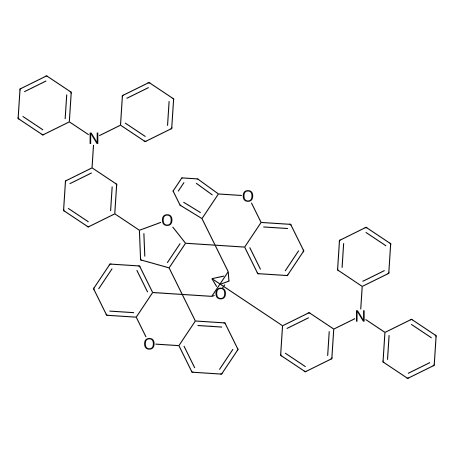 c1ccc(N(c2ccccc2)c2cccc(-c3cc4c(o3)C3(c5ccccc5Oc5ccccc53)c3cc(-c5cccc(N(c6ccccc6)c6ccccc6)c5)oc3C43c4ccccc4Oc4ccccc43)c2)cc1